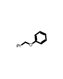 [CH2]C(C)COc1ccccc1